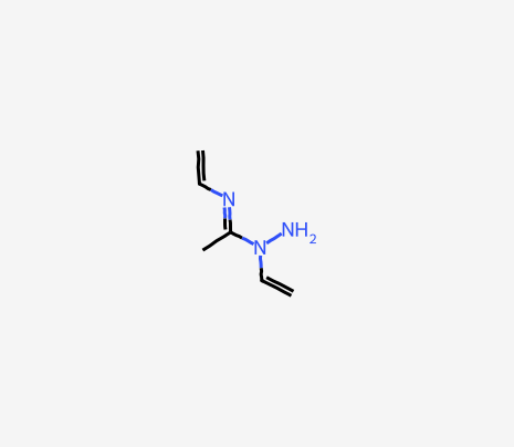 C=C/N=C(\C)N(N)C=C